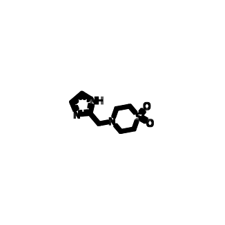 O=S1(=O)CCN(Cc2ncc[nH]2)CC1